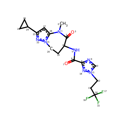 CN1C(=O)C(NC(=O)c2ncn(CCC(F)(F)F)n2)CCn2nc(C3CC3)cc21